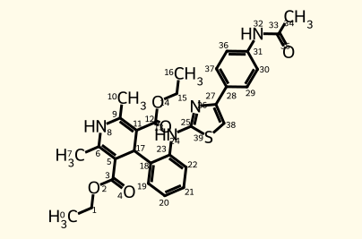 CCOC(=O)C1=C(C)NC(C)=C(C(=O)OCC)C1c1ccccc1Nc1nc(-c2ccc(NC(C)=O)cc2)cs1